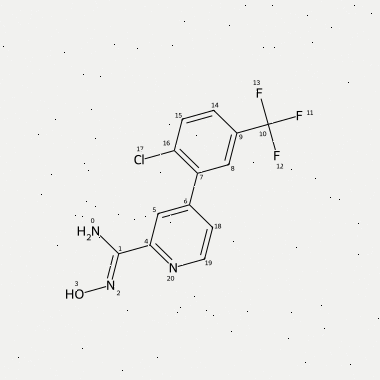 NC(=NO)c1cc(-c2cc(C(F)(F)F)ccc2Cl)ccn1